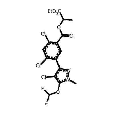 CCOC(=O)C(C)OC(=O)c1cc(-c2nn(C)c(OC(F)F)c2Cl)c(Cl)cc1Cl